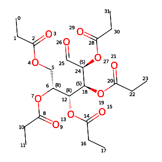 CCC(=O)OC[C@@H](OC(=O)CC)[C@@H](OC(=O)CC)[C@H](OC(=O)CC)[C@@H](C=O)OC(=O)CC